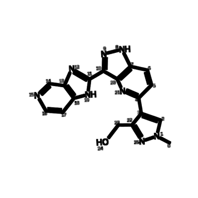 Cn1cc(-c2ccc3[nH]nc(-c4nc5cnccc5[nH]4)c3n2)c(CO)n1